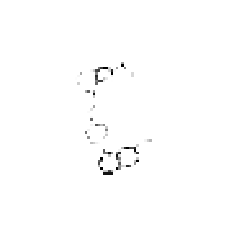 COc1ccc2cccc(N3CCN(CCC4OCCc5cc(C(N)=O)sc54)C(C)C3)c2c1